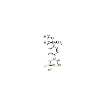 C=C[Si](C)(C)c1ccc(N(C=O)CC(F)(F)F)cc1